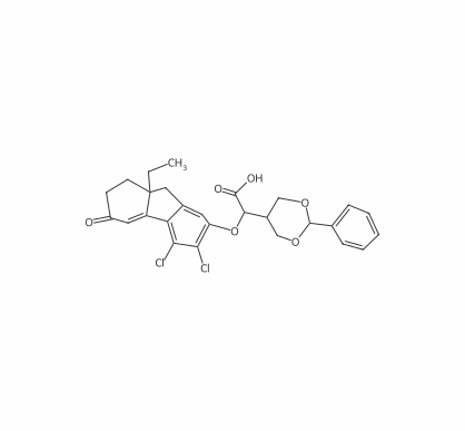 CCC12CCC(=O)C=C1c1c(cc(OC(C(=O)O)C3COC(c4ccccc4)OC3)c(Cl)c1Cl)C2